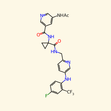 CC(=O)Nc1cncc(C(=O)NC2(C(=O)NCc3ccc(Nc4ccc(F)cc4C(F)(F)F)cn3)CC2)c1